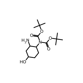 CC(C)(C)OC(=O)N(C(=O)OC(C)(C)C)C1CCC(O)CC1N